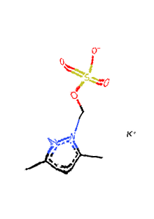 Cc1cc(C)n(COS(=O)(=O)[O-])n1.[K+]